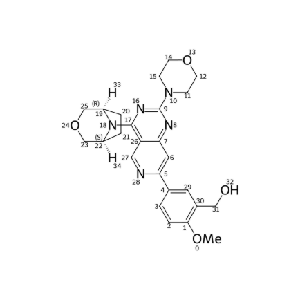 COc1ccc(-c2cc3nc(N4CCOCC4)nc(N4[C@@H]5CC[C@H]4COC5)c3cn2)cc1CO